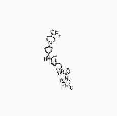 O=C1CN(C(=O)NCc2ccc(Nc3ccc(N4CCC(C(F)(F)F)CC4)cc3)cc2)C(=O)N1